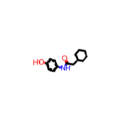 O=C(CC1CCCCC1)Nc1ccc(O)cc1